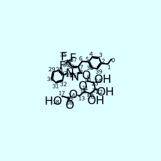 CCc1ccc(Cc2c(O[C@@H]3OC(COC(=O)CO)[C@@H](O)C(O)[C@H]3O)nn(-c3ccccc3)c2C(F)(F)F)cc1